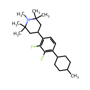 CC1CCC(c2ccc(C3CC(C)(C)N(C)C(C)(C)C3)c(F)c2F)CC1